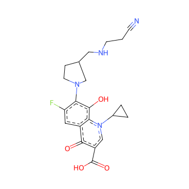 N#CCCNCC1CCN(c2c(F)cc3c(=O)c(C(=O)O)cn(C4CC4)c3c2O)C1